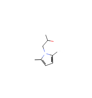 Cc1ccc(C)n1CC(C)O